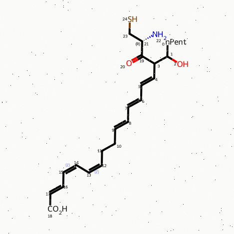 CCCCCC(O)C(C=CC=CC=CCC/C=C\C=C/C=CC(=O)O)C(=O)[C@@H](N)CS